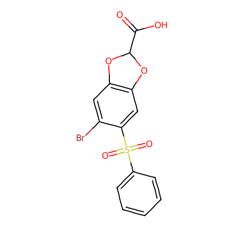 O=C(O)C1Oc2cc(Br)c(S(=O)(=O)c3ccccc3)cc2O1